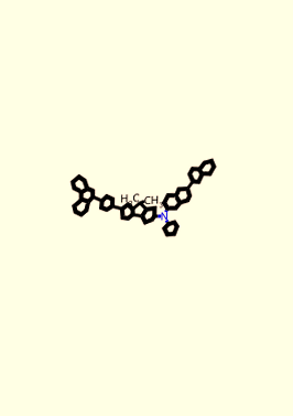 CC1(C)c2cc(-c3ccc(-c4cc5ccccc5c5ccccc45)cc3)ccc2-c2ccc(N(c3ccccc3)c3ccc4cc(-c5ccc6ccccc6c5)ccc4c3)cc21